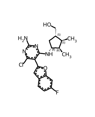 C[C@@H]1[C@@H](CO)C[C@@H](Nc2nc(N)nc(Cl)c2-c2cc3ccc(F)cc3o2)[C@@H]1C